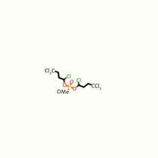 COP(=O)(OC(Cl)CCC(Cl)(Cl)Cl)OC(Cl)CCC(Cl)(Cl)Cl